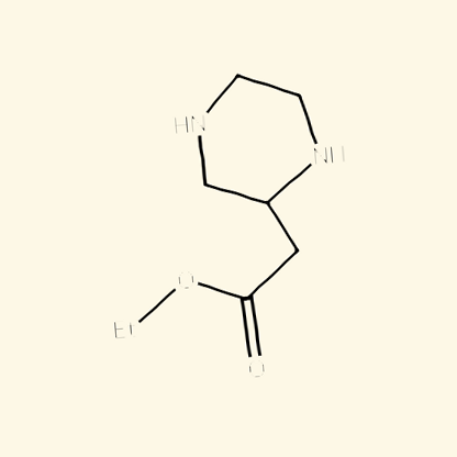 CCOC(=O)CC1CNCCN1